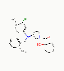 Cc1ccccc1CN(C1=CC(Cl)=C(C#N)CC1)[C@H]1CCN(C(=O)C2(O)CCCCC2)C1